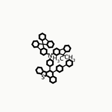 CC1(C)c2ccccc2-c2ccc(N(c3ccc(-c4c(-c5ccc(-c6ccccc6)cc5)c5ccccc5c5sc6ccccc6c45)cc3)c3ccc4c(c3)C3(c5ccccc5-c5ccccc53)c3ccccc3-4)cc21